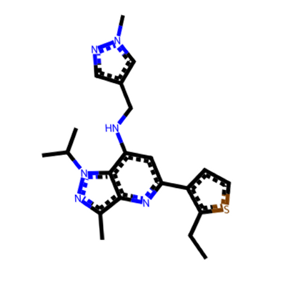 CCc1sccc1-c1cc(NCc2cnn(C)c2)c2c(n1)c(C)nn2C(C)C